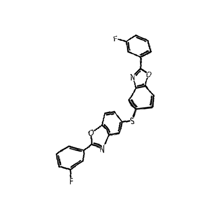 Fc1cccc(-c2nc3cc(Sc4ccc5oc(-c6cccc(F)c6)nc5c4)ccc3o2)c1